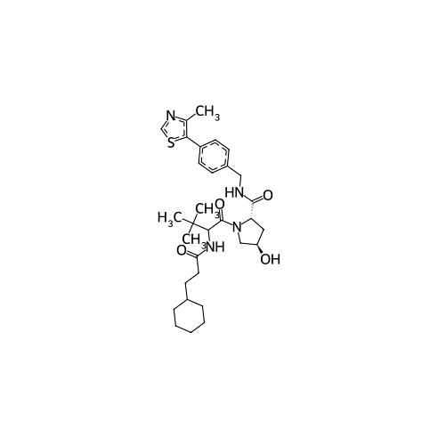 Cc1ncsc1-c1ccc(CNC(=O)[C@@H]2C[C@@H](O)CN2C(=O)C(NC(=O)CCC2CCCCC2)C(C)(C)C)cc1